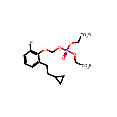 CCOC(=O)COP(=O)(OCOc1c(CCC2CC2)cccc1C(C)C)OCC(=O)OCC